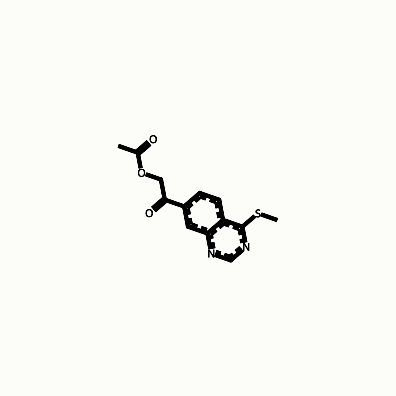 CSc1ncnc2cc(C(=O)COC(C)=O)ccc12